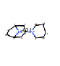 O=C(O)N1C2CCC1CC(N1CCCCC1)C2